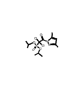 Cc1cc(C)n(C(=O)C(Cl)(Cl)P(=O)(OC(C)C)OC(C)C)n1